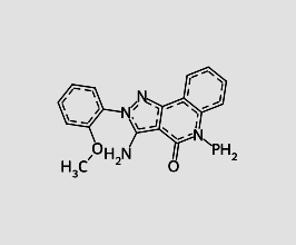 COc1ccccc1-n1nc2c(c1N)c(=O)n(P)c1ccccc21